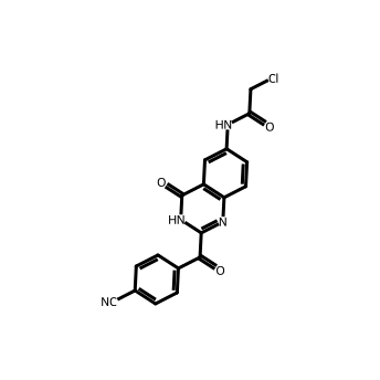 N#Cc1ccc(C(=O)c2nc3ccc(NC(=O)CCl)cc3c(=O)[nH]2)cc1